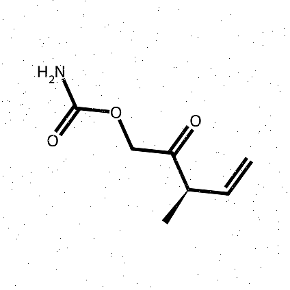 C=C[C@@H](C)C(=O)COC(N)=O